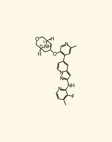 Cc1cc(-c2ccn3nc(Nc4nccc(C)c4F)cc3c2)c(OC2C[C@H]3COC[C@@H](C2)N3)cn1